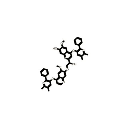 COc1cc2c(Oc3cc(C)c(C)nc3-c3ccccc3)cc(C(O)COc3cc4nccc(Oc5cc(C)c(C)nc5-c5ccccc5)c4cc3OC)nc2cc1O